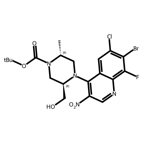 C[C@@H]1CN(c2c([N+](=O)[O-])cnc3c(F)c(Br)c(Cl)cc23)[C@@H](CO)CN1C(=O)OC(C)(C)C